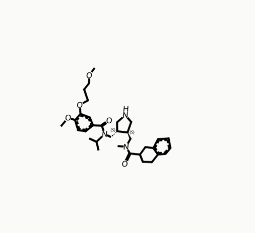 COCCCOc1cc(C(=O)N(C[C@@H]2CNC[C@H]2CN(C)C(=O)C2CCc3ccccc3C2)C(C)C)ccc1OC